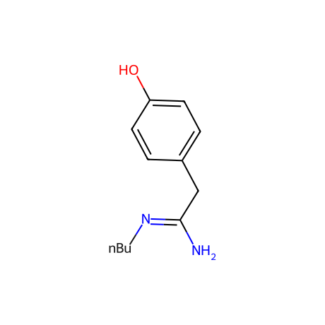 CCCCN=C(N)Cc1ccc(O)cc1